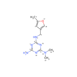 Cc1cc(CNc2nc(N)nc(N(C)C)n2)co1